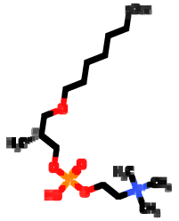 CCCCCCCCCCCCCCCCOC[C@@H](C)COP(=O)(O)OCC[N+](C)(C)C